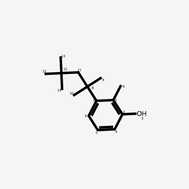 Cc1c(O)cccc1C(C)(C)CC(C)(C)C